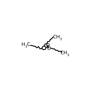 CCCCCCCCOC(=O)C1CCC(CCCCCCCC)CC1CCCCCCCC